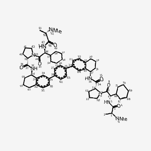 CN[C@@H](C)C(=O)N[C@H](C(=O)N1CCC[C@@H]1C(=O)N[C@@H]1CCCc2ccc(-c3ccc(-c4ccc5c(c4)[C@H](NC(=O)[C@@H]4CCCN4C(=O)[C@@H](NC(=O)[C@H](C)NC)C4CCCCC4)CCC5)cc3)cc21)C1CCCCC1